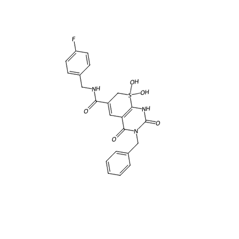 O=C(NCc1ccc(F)cc1)C1=Cc2c([nH]c(=O)n(Cc3ccccc3)c2=O)S(O)(O)C1